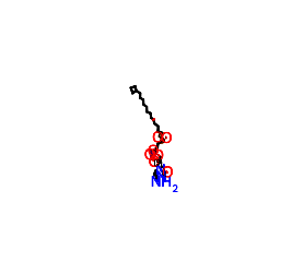 Nc1ccn(C[C@H]2COP(=O)(OCCCS(=O)(=O)CCCCCCCCCCCCCC3CCC3)CO2)c(=O)n1